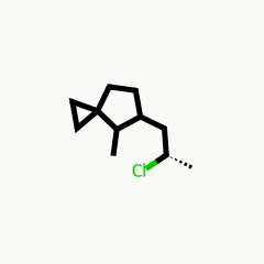 CC1C(C[C@H](C)Cl)CCC12CC2